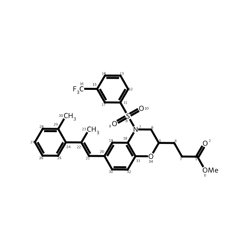 COC(=O)CCC1CN(S(=O)(=O)c2cccc(C(F)(F)F)c2)c2cc(C=C(C)c3ccccc3C)ccc2O1